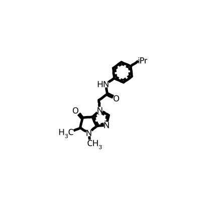 CC(C)c1ccc(NC(=O)Cn2cnc3c2C(=O)C(C)N3C)cc1